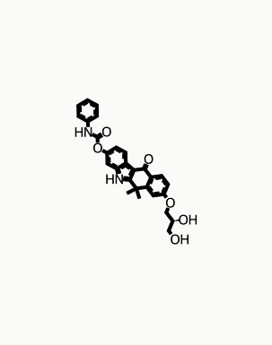 CC1(C)c2cc(OC[C@H](O)CO)ccc2C(=O)c2c1[nH]c1cc(OC(=O)Nc3ccccc3)ccc21